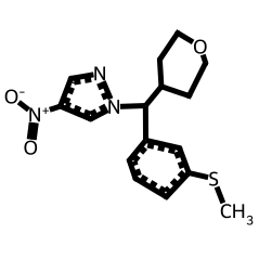 CSc1cccc(C(C2CCOCC2)n2cc([N+](=O)[O-])cn2)c1